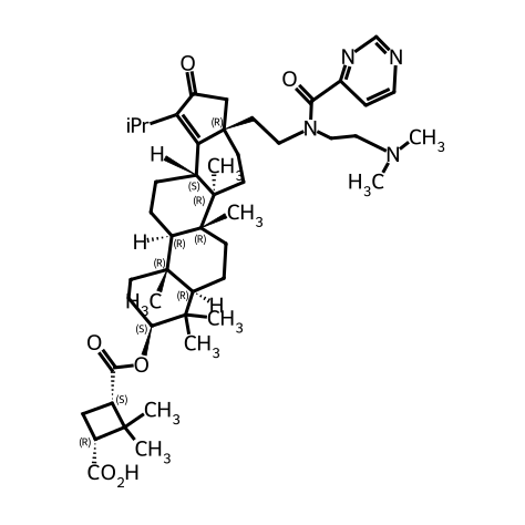 CC(C)C1=C2[C@H]3CC[C@@H]4[C@@]5(C)CC[C@H](OC(=O)[C@H]6C[C@@H](C(=O)O)C6(C)C)C(C)(C)[C@@H]5CC[C@@]4(C)[C@]3(C)CC[C@@]2(CCN(CCN(C)C)C(=O)c2ccncn2)CC1=O